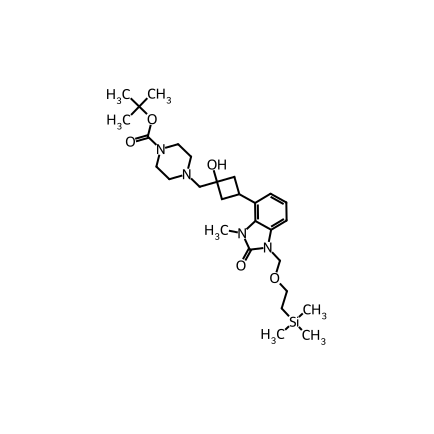 Cn1c(=O)n(COCC[Si](C)(C)C)c2cccc(C3CC(O)(CN4CCN(C(=O)OC(C)(C)C)CC4)C3)c21